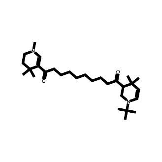 CN1C=C(C(=O)CCCCCCCCC(=O)C2CN(C(C)(C)C)C=CC2(C)C)C(C)(C)CC1